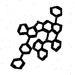 C1=C(c2ccccc2)CCC(c2cc3c4c(oc3c3ccccc23)=CCCC=4N(c2ccccc2-c2ccc(-c3ccccc3)cc2)c2cccc3ccccc23)=C1